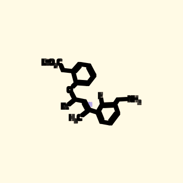 CCOC(=O)Cc1ccccc1OC(/C=C(\C)c1cccc(CN)c1F)CC